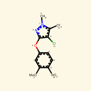 COc1cc(Oc2nn(C)c(C(F)(F)F)c2Cl)ccc1[N+](=O)[O-]